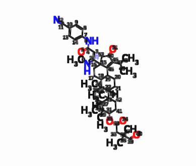 CN/C(=C\C(=O)Nc1ccc(C#N)cc1)C12CCC3C(CC[C@H]4C3(C)CC[C@H]3C(C)(C)C(OC(=O)CC(C)(C)C=O)CCC34C)C1=C(C(C)C)C(=O)C2